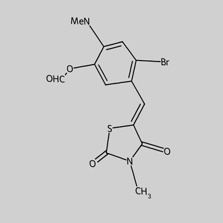 CNc1cc(Br)c(/C=C2\SC(=O)N(C)C2=O)cc1OC=O